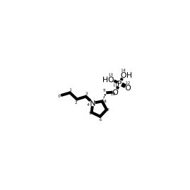 CCCCN1CCC[C@H]1COP(=O)(O)O